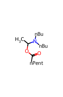 CCCCCC(=O)OC(C)N(CCCC)CCCC